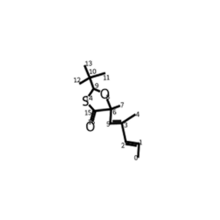 C/C=C/C(C)=C/C1(C)OC(C(C)(C)C)SC1=O